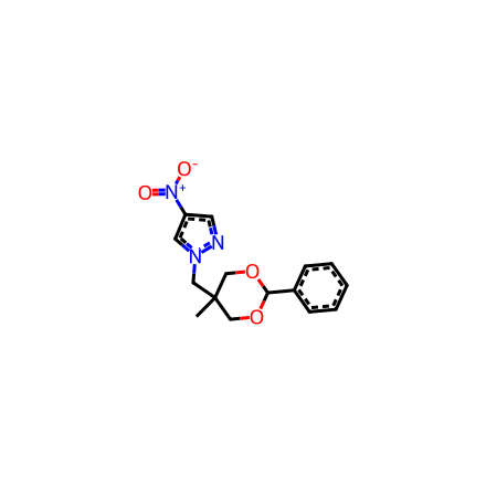 CC1(Cn2cc([N+](=O)[O-])cn2)COC(c2ccccc2)OC1